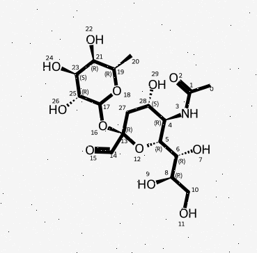 CC(=O)N[C@H]1[C@H]([C@H](O)[C@H](O)CO)O[C@@]([C]=O)(OC2O[C@H](C)[C@H](O)[C@H](O)[C@H]2O)C[C@@H]1O